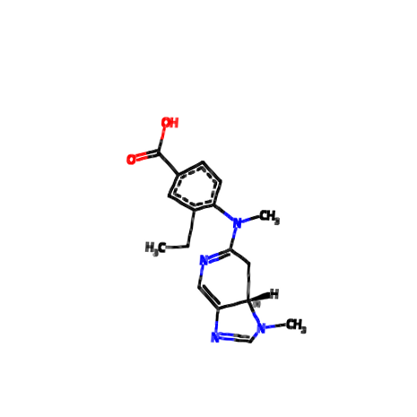 CCc1cc(C(=O)O)ccc1N(C)C1=NC=C2N=CN(C)[C@H]2C1